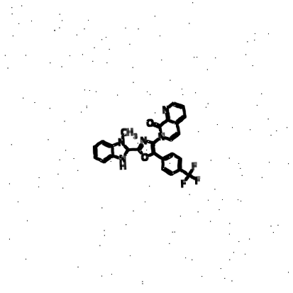 CN1c2ccccc2NC1c1nc(-n2ccc3cccnc3c2=O)c(-c2ccc(C(F)(F)F)cc2)o1